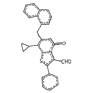 O=Cc1c(-c2ccccc2)sc2c(C3CC3)c(Cc3cccc4ccccc34)cc(=O)n12